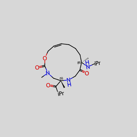 CC(C)N[C@]1(C)CCCC=CCOC(=O)N(C)C[C@@](C)(C(=O)C(C)C)NCC1=O